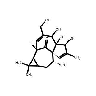 CC1=C[C@]23C(=O)[C@@H](C=C(CO)C(O)[C@]2(O)[C@H]1O)C1C(C[C@H]3C)C1(C)C